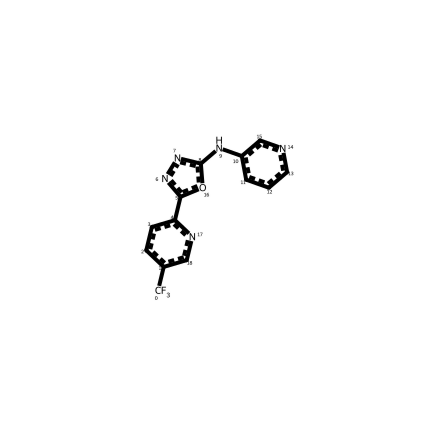 FC(F)(F)c1ccc(-c2nnc(Nc3cccnc3)o2)nc1